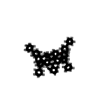 Cc1cccc(C)c1B1c2ccc(-c3ccccc3)cc2C2(c3cc(-c4ccccc4)ccc31)c1cc(N(c3ccc(-c4ccccc4)cc3)c3ccc(-c4ccccc4)cc3)ccc1-c1ccc(N(c3ccc(-c4ccccc4)cc3)c3ccc(-c4ccccc4)cc3)cc12